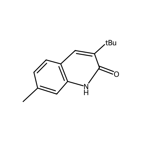 Cc1ccc2cc(C(C)(C)C)c(=O)[nH]c2c1